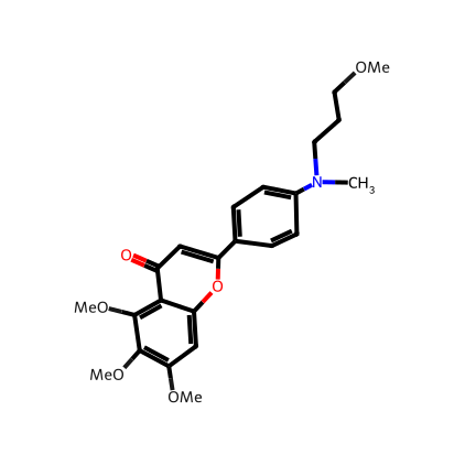 COCCCN(C)c1ccc(-c2cc(=O)c3c(OC)c(OC)c(OC)cc3o2)cc1